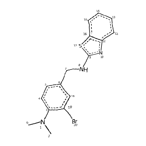 CN(C)c1ccc(CNc2nc3ccccc3s2)cc1Br